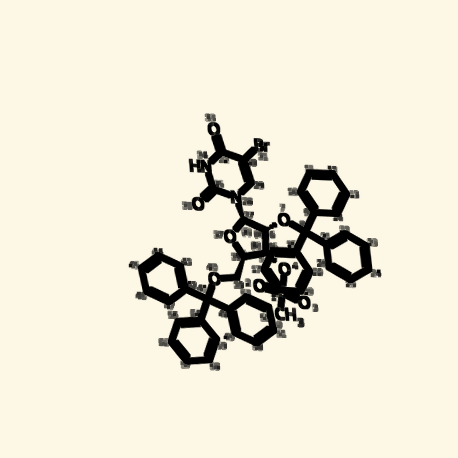 CS(=O)(=O)O[C@H]1[C@@H](OC(c2ccccc2)(c2ccccc2)c2ccccc2)[C@H](n2cc(Br)c(=O)[nH]c2=O)O[C@@H]1COC(c1ccccc1)(c1ccccc1)c1ccccc1